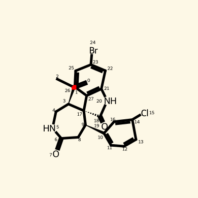 C=C(C)[C@@H]1CNC(=O)C[C@H](c2cccc(Cl)c2)[C@@]12C(=O)Nc1cc(Br)ccc12